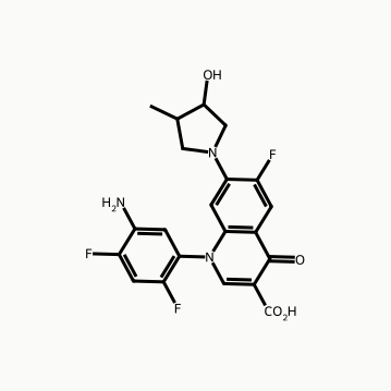 CC1CN(c2cc3c(cc2F)c(=O)c(C(=O)O)cn3-c2cc(N)c(F)cc2F)CC1O